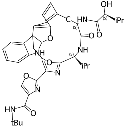 CC(C)[C@H](O)C(=O)N[C@H]1Cc2ccc3c(c2)C2(Cc4oc(nc4-c4nc(C(=O)NC(C)(C)C)co4)[C@H](C(C)C)NC1=O)c1ccccc1NC2O3